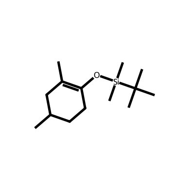 CC1=C(O[Si](C)(C)C(C)(C)C)CCC(C)C1